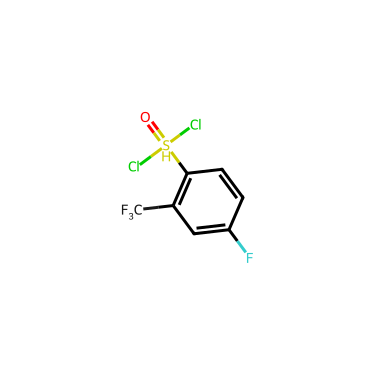 O=[SH](Cl)(Cl)c1ccc(F)cc1C(F)(F)F